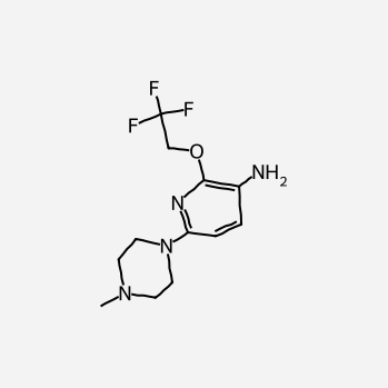 CN1CCN(c2ccc(N)c(OCC(F)(F)F)n2)CC1